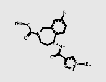 CC(C)(C)OC(=O)N1CC[C@@H](NC(=O)c2cn(C(C)(C)C)nn2)c2ccc(Br)cc2C1